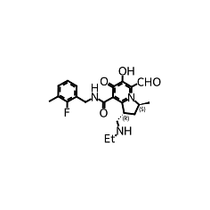 CCNC[C@H]1C[C@H](C)n2c(C=O)c(O)c(=O)c(C(=O)NCc3cccc(C)c3F)c21